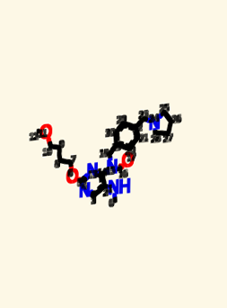 CNc1cnc(OCCCCOC)nc1N(C=O)Cc1ccc(CN2CCCC2)cc1